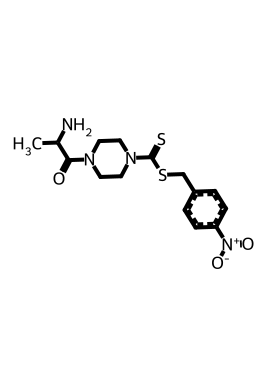 CC(N)C(=O)N1CCN(C(=S)SCc2ccc([N+](=O)[O-])cc2)CC1